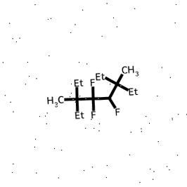 CCC(C)(CC)C(F)C(F)(F)C(C)(CC)CC